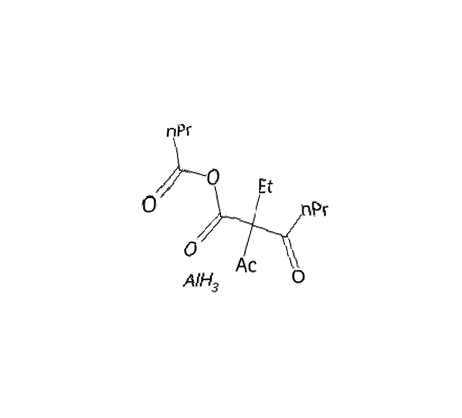 CCCC(=O)OC(=O)C(CC)(C(C)=O)C(=O)CCC.[AlH3]